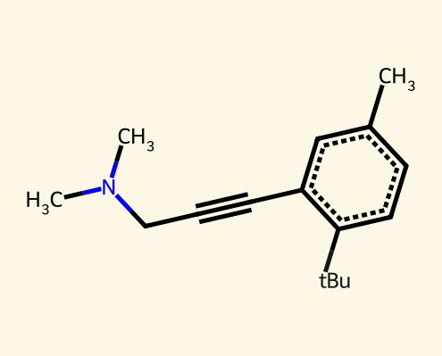 Cc1ccc(C(C)(C)C)c(C#CCN(C)C)c1